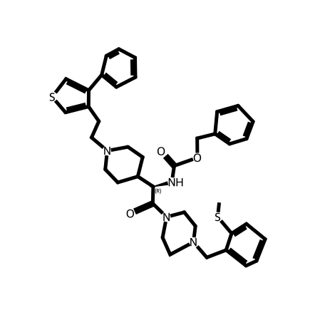 CSc1ccccc1CN1CCN(C(=O)[C@H](NC(=O)OCc2ccccc2)C2CCN(CCc3cscc3-c3ccccc3)CC2)CC1